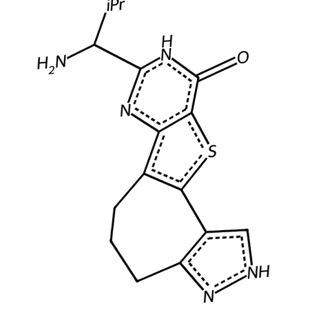 CC(C)C(N)c1nc2c3c(sc2c(=O)[nH]1)-c1c[nH]nc1CCC3